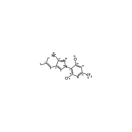 CC(C)=Cc1cn(-c2c(Cl)cc(C(F)(F)F)cc2Cl)nc1C#N